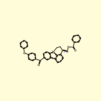 O=C(O/N=C1\CCn2c3ccc(C(=O)c4ccc(Oc5ccccc5)cc4)cc3c3cccc1c32)c1ccccc1